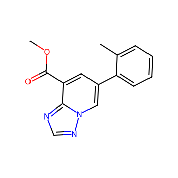 COC(=O)c1cc(-c2ccccc2C)cn2ncnc12